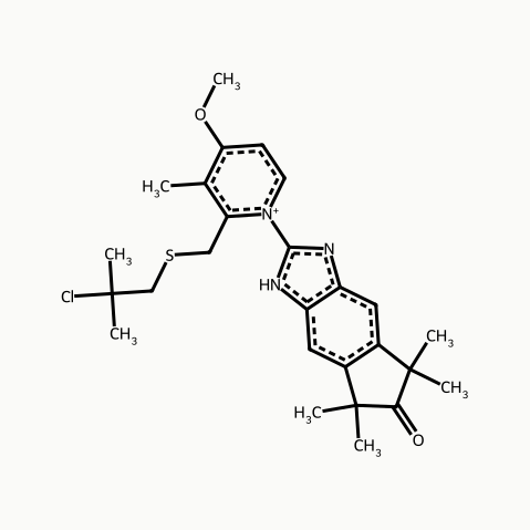 COc1cc[n+](-c2nc3cc4c(cc3[nH]2)C(C)(C)C(=O)C4(C)C)c(CSCC(C)(C)Cl)c1C